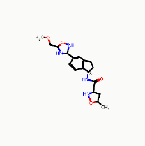 COCC1NC(c2ccc3c(c2)CC[C@H]3NC(=O)C2CC(C)ON2)NO1